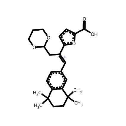 CC1(C)CCC(C)(C)c2cc(/C=C(\CC3OCCCO3)c3ccc(C(=O)O)o3)ccc21